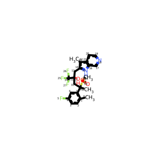 Cc1ccc(F)cc1C(C)(CC(O)(Cc1[nH]c2cnccc2c1C)C(F)(F)F)S(C)(=O)=O